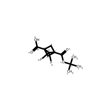 CC(C)(C)OC(=O)C12CC(C(=O)O)(C1)C2(F)F